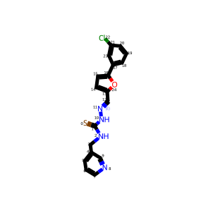 S=C(NCc1cccnc1)N/N=C/c1ccc(-c2cccc(Cl)c2)o1